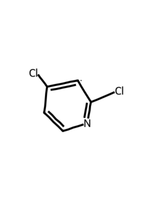 Clc1[c]c(Cl)ncc1